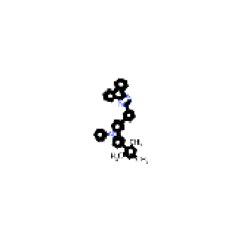 CC1=CC(C)=C(c2ccc3c(c2)c2cc(-c4cccc(-c5cnc6c7ccccc7c7ccccc7c6n5)c4)ccc2n3-c2ccccc2)C(C)C1